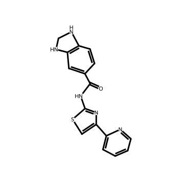 O=C(Nc1nc(-c2ccccn2)cs1)c1ccc2c(c1)NCN2